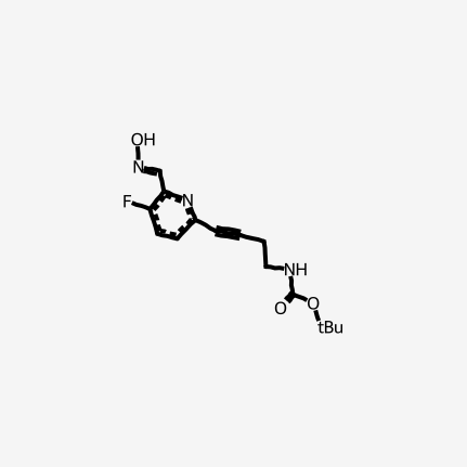 CC(C)(C)OC(=O)NCCC#Cc1ccc(F)c(/C=N/O)n1